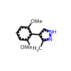 COc1c[c]cc(OC)c1-c1c[nH]nc1C